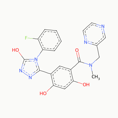 CN(Cc1cnccn1)C(=O)c1cc(-c2nnc(O)n2-c2ccccc2F)c(O)cc1O